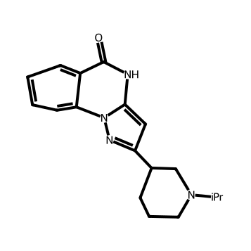 CC(C)N1CCCC(c2cc3[nH]c(=O)c4ccccc4n3n2)C1